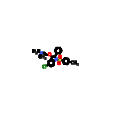 Cc1ccc(S(=O)(=O)n2c(-c3ccccc3)c(OCCN(C)C)c3cc(Cl)ccc32)cc1